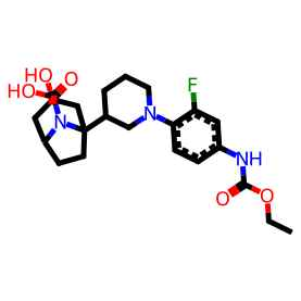 CCOC(=O)Nc1ccc(N2CCCC(C34CCC(CC(O)C3)N4C(=O)O)C2)c(F)c1